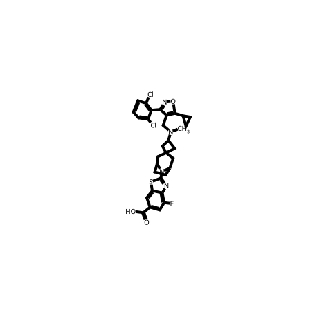 CN(Cc1c(-c2c(Cl)cccc2Cl)noc1C1CC1)C1CC2(C1)CC1CCC(C2)N1c1nc2c(F)cc(C(=O)O)cc2s1